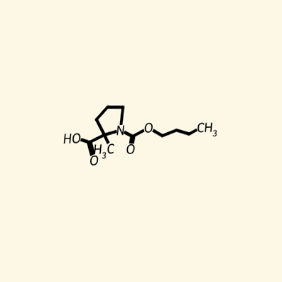 CCCCOC(=O)N1CCCC1(C)C(=O)O